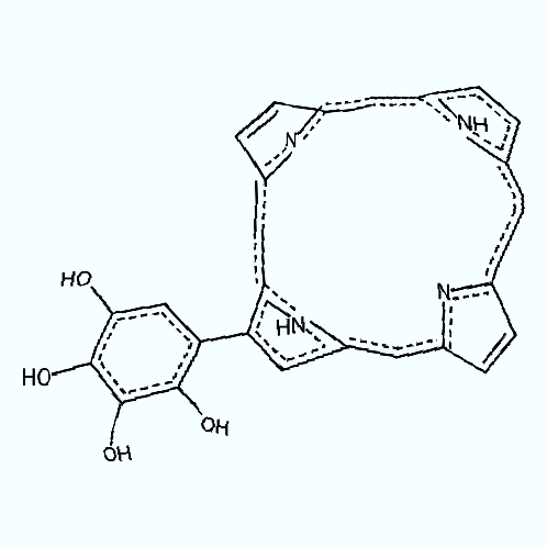 Oc1cc(-c2cc3cc4nc(cc5ccc(cc6nc(cc2[nH]3)C=C6)[nH]5)C=C4)c(O)c(O)c1O